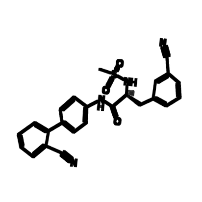 CS(=O)(=O)N[C@@H](Cc1cccc(C#N)c1)C(=O)Nc1ccc(-c2ccccc2C#N)cc1